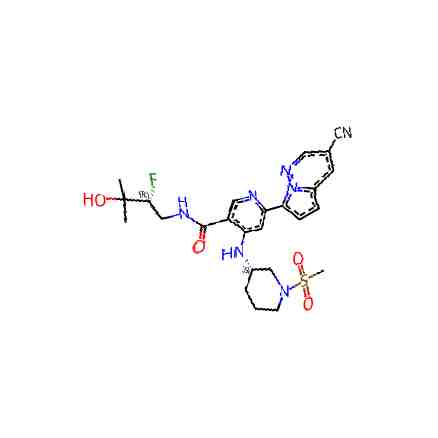 CC(C)(O)[C@H](F)CNC(=O)c1cnc(-c2ccc3cc(C#N)cnn23)cc1N[C@H]1CCCN(S(C)(=O)=O)C1